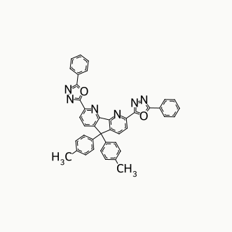 Cc1ccc(C2(c3ccc(C)cc3)c3ccc(-c4nnc(-c5ccccc5)o4)nc3-c3nc(-c4nnc(-c5ccccc5)o4)ccc32)cc1